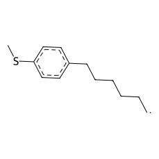 [CH2]CCCCCc1ccc(SC)cc1